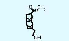 COC(=O)C1CC2CC1C1C3CC(CC3CCO)C21